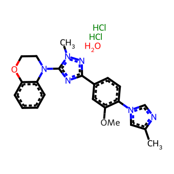 COc1cc(-c2nc(N3CCOc4ccccc43)n(C)n2)ccc1-n1cnc(C)c1.Cl.Cl.O